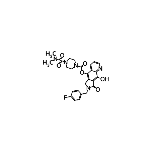 CN(C)S(=O)(=O)N1CCN(C(=O)Oc2c3c(c(O)c4ncccc24)C(=O)N(Cc2ccc(F)cc2)C3)CC1